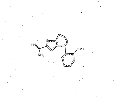 COc1ccccc1-c1cccc2sc(C(=N)N)cc12